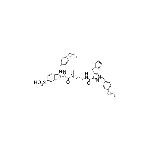 Cc1ccc(Cn2nc(C(=O)NCCCNC(=O)c3nn(Cc4ccc(C)cc4)c4c3Cc3cc(S(=O)(=O)O)ccc3-4)c3c2-c2ccccc2C3)cc1